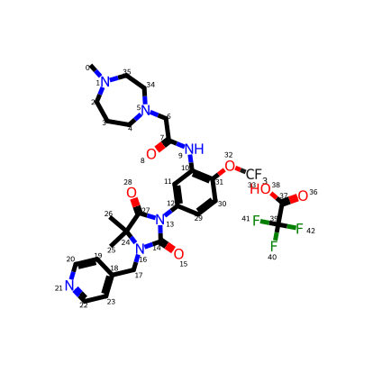 CN1CCCN(CC(=O)Nc2cc(N3C(=O)N(Cc4ccncc4)C(C)(C)C3=O)ccc2OC(F)(F)F)CC1.O=C(O)C(F)(F)F